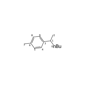 CCCCC(C)c1ccc(C)cc1